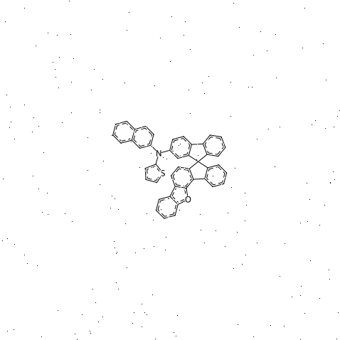 c1csc(N(c2ccc3c(c2)C2(c4ccccc4-3)c3ccccc3-c3c2ccc2c3oc3ccccc32)c2ccc3ccccc3c2)c1